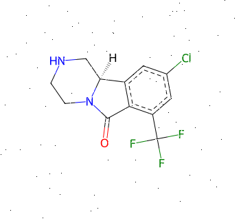 O=C1c2c(cc(Cl)cc2C(F)(F)F)[C@@H]2CNCCN12